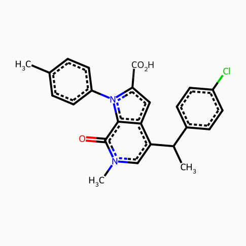 Cc1ccc(-n2c(C(=O)O)cc3c(C(C)c4ccc(Cl)cc4)cn(C)c(=O)c32)cc1